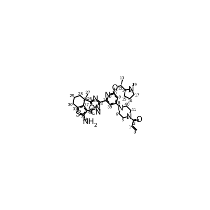 C=CC(=O)N1CCN(c2cc(O[C@@H](C)[C@@H]3CCCN3C)nc(-c3noc([C@@]4(C)CCCc5sc(N)c(C#N)c54)n3)c2)CC1